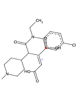 CCN(C(=O)C(/C(=C\C(=O)O)C(=O)O)C1CCN(C)CC1)c1ccc(Cl)cc1